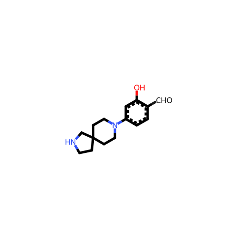 O=Cc1ccc(N2CCC3(CCNC3)CC2)cc1O